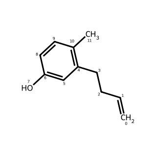 C=CCCc1cc(O)ccc1C